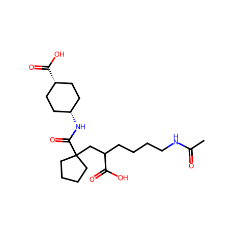 CC(=O)NCCCCC(CC1(C(=O)N[C@H]2CC[C@@H](C(=O)O)CC2)CCCC1)C(=O)O